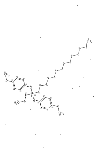 CCCCCCCCCCCCCC[PH](OCC)(Oc1ccc(CC)cc1)Oc1ccc(CC)cc1